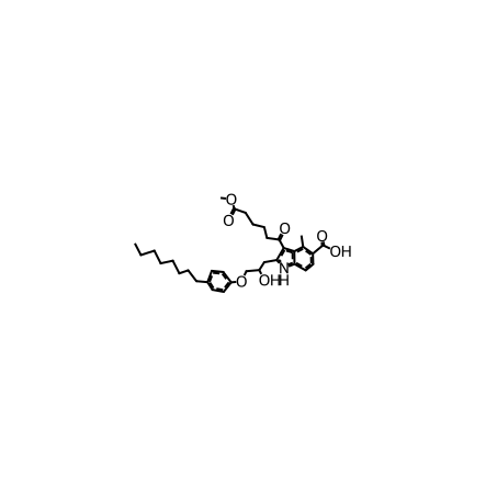 CCCCCCCCc1ccc(OCC(O)Cc2[nH]c3ccc(C(=O)O)c(C)c3c2C(=O)CCCCC(=O)OC)cc1